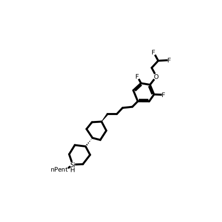 CCCCC[SiH]1CCC([C@H]2CC[C@H](CCCCc3cc(F)c(OCC(F)F)c(F)c3)CC2)CC1